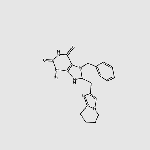 CCn1c2c(c(=O)[nH]c1=O)N(Cc1ccccc1)C(Cc1cn3c(n1)CCCC3)N2